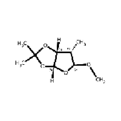 CO[C@H]1O[C@@H]2OC(C)(C)O[C@@H]2[C@@H]1C